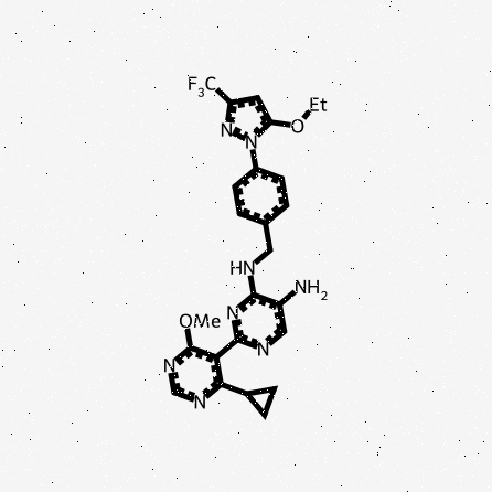 CCOc1cc(C(F)(F)F)nn1-c1ccc(CNc2nc(-c3c(OC)ncnc3C3CC3)ncc2N)cc1